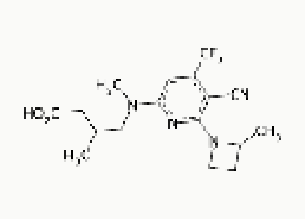 CC(CC(=O)O)CN(C)c1cc(C(F)(F)F)c(C#N)c(N2CCC2C)n1